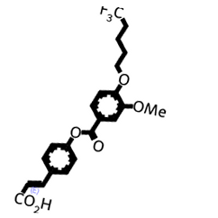 COc1cc(C(=O)Oc2ccc(/C=C/C(=O)O)cc2)ccc1OCCCCC(F)(F)F